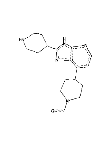 O=CN1CCC(c2ccnc3[nH]c(C4CCNCC4)nc23)CC1